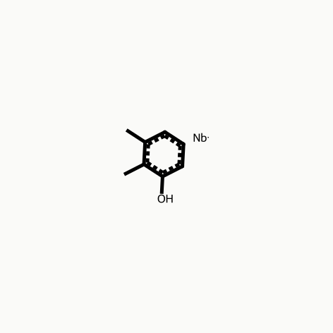 Cc1cccc(O)c1C.[Nb]